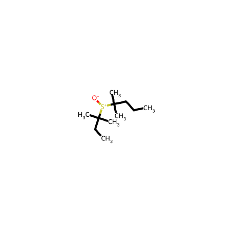 CCCC(C)(C)[S+]([O-])C(C)(C)CC